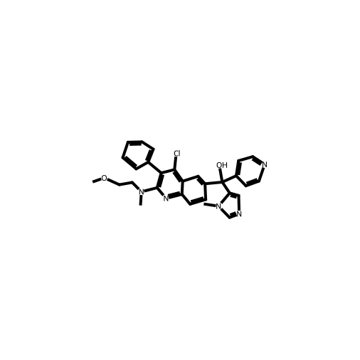 COCCN(C)c1nc2ccc(C(O)(c3ccncc3)c3cncn3C)cc2c(Cl)c1-c1ccccc1